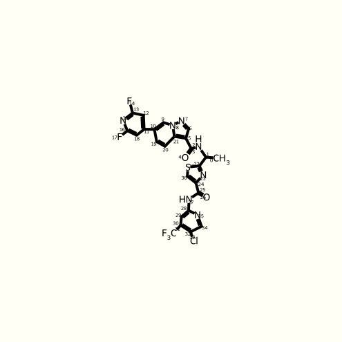 CC(NC(=O)c1cnn2cc(-c3cc(F)nc(F)c3)ccc12)c1nc(C(=O)Nc2cc(C(F)(F)F)c(Cl)cn2)cs1